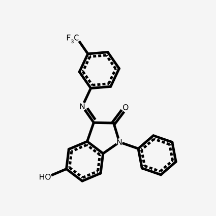 O=C1C(=Nc2cccc(C(F)(F)F)c2)c2cc(O)ccc2N1c1ccccc1